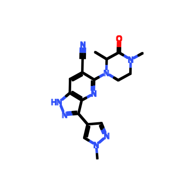 CC1C(=O)N(C)CCN1c1nc2c(-c3cnn(C)c3)n[nH]c2cc1C#N